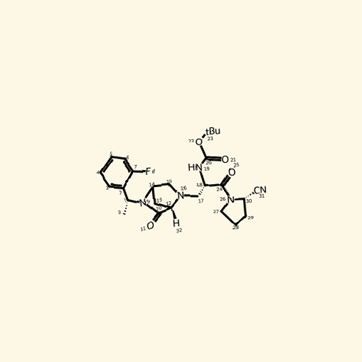 C[C@H](c1ccccc1F)N1C(=O)[C@@H]2CC1CN2C[C@H](NC(=O)OC(C)(C)C)C(=O)N1CCC[C@H]1C#N